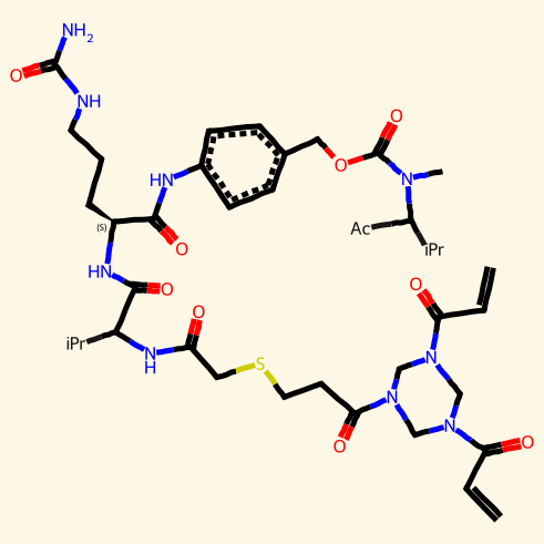 C=CC(=O)N1CN(C(=O)C=C)CN(C(=O)CCSCC(=O)NC(C(=O)N[C@@H](CCCNC(N)=O)C(=O)Nc2ccc(COC(=O)N(C)C(C(C)=O)C(C)C)cc2)C(C)C)C1